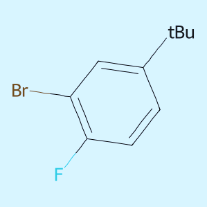 CC(C)(C)c1ccc(F)c(Br)c1